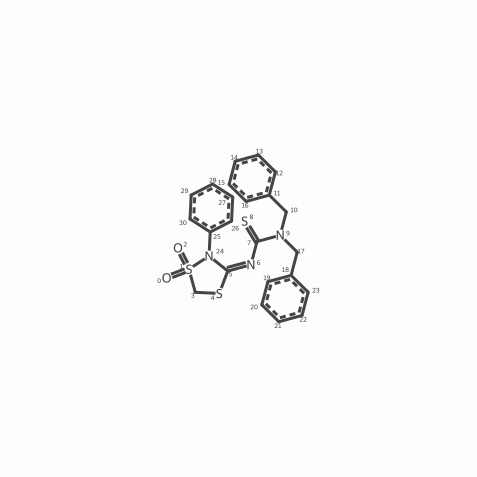 O=S1(=O)CS/C(=N/C(=S)N(Cc2ccccc2)Cc2ccccc2)N1c1ccccc1